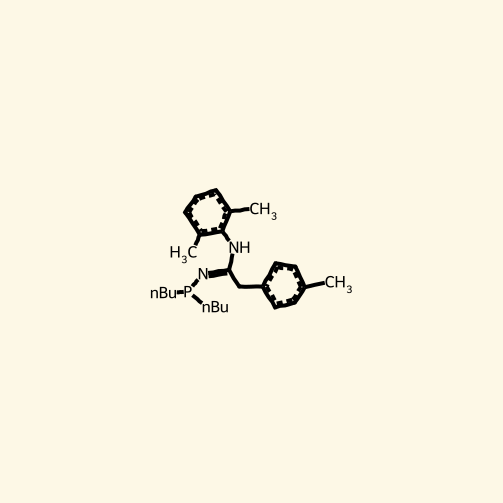 CCCCP(CCCC)N=C(Cc1ccc(C)cc1)Nc1c(C)cccc1C